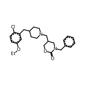 CCOc1ccc(Cl)c(CC2CCN(CC3COC(=O)N(Cc4ccccc4)C3)CC2)c1